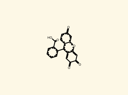 O=C1C=c2oc3cc(=O)ccc-3c(-c3ccccc3C(=O)O)c2=CC1=O